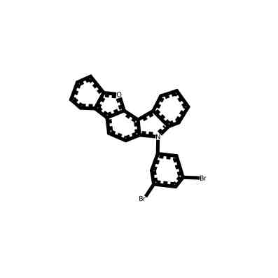 Brc1cc(Br)cc(-n2c3ccccc3c3c4oc5ccccc5c4ccc32)c1